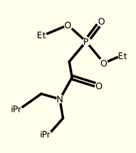 CCOP(=O)(CC(=O)N(CC(C)C)CC(C)C)OCC